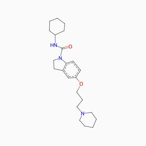 O=C(NC1CCCCC1)N1CCc2cc(OCCCN3CCCCC3)ccc21